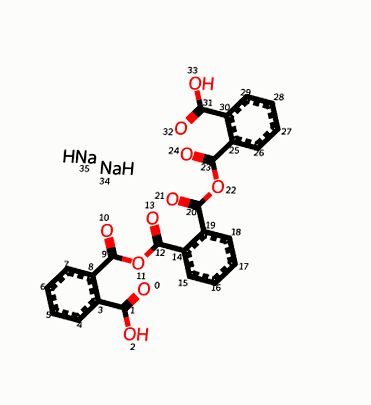 O=C(O)c1ccccc1C(=O)OC(=O)c1ccccc1C(=O)OC(=O)c1ccccc1C(=O)O.[NaH].[NaH]